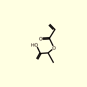 C=CC(=O)OC(C)C(=C)O